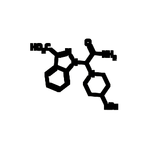 CCCCC1CCN(C(C(N)=O)n2nc(C(=O)O)c3ccccc32)CC1